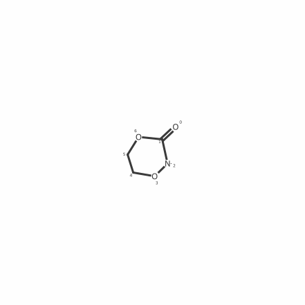 O=C1[N]OCCO1